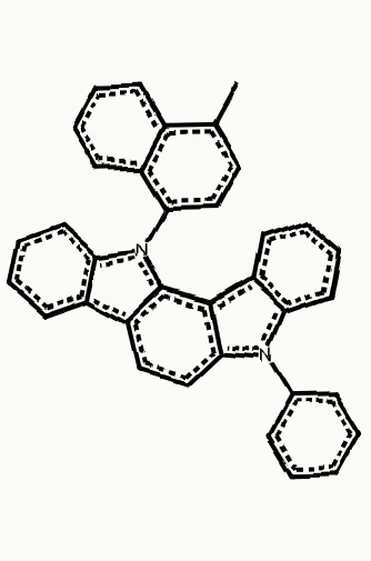 Cc1ccc(-n2c3ccccc3c3ccc4c(c5ccccc5n4-c4ccccc4)c32)c2ccccc12